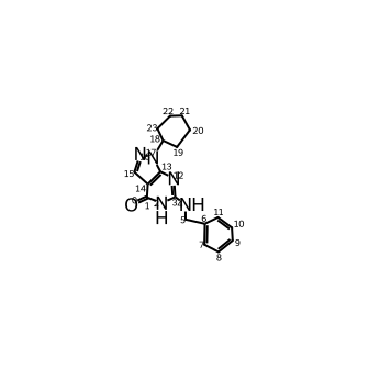 O=c1[nH]c(NCc2ccccc2)nc2c1cnn2C1CCCCC1